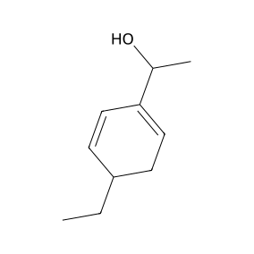 CCC1C=CC(C(C)O)=CC1